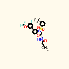 C=CCC(=O)NC[C@H]1CN(S(=O)(=O)c2cccc(C(F)(F)F)c2)c2cc(-c3cc(F)cc(OC(F)F)c3)ccc2O1